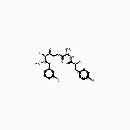 CCN(C(=O)CNC(=O)[C@@H](C)NC(=O)[C@@H](N)Cc1ccc(O)cc1)[C@@H](Cc1cccc(Cl)c1)C(=O)O